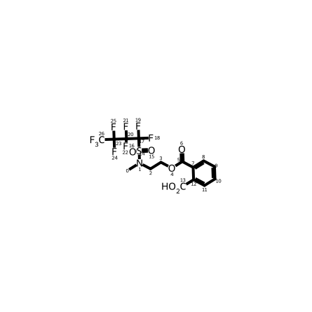 CN(CCOC(=O)c1ccccc1C(=O)O)S(=O)(=O)C(F)(F)C(F)(F)C(F)(F)C(F)(F)F